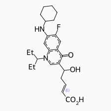 CCC(CC)n1cc(C(O)C/C=C/C(=O)O)c(=O)c2cc(F)c(NC3CCCCC3)cc21